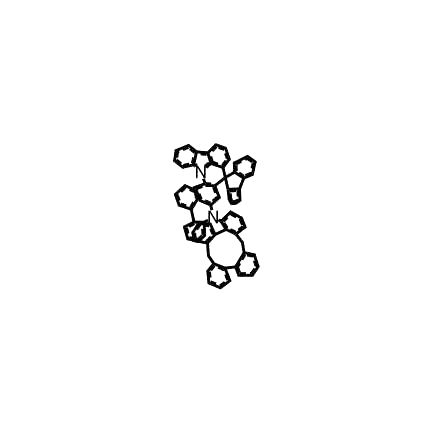 c1ccc(-c2ccccc2N(c2ccc3c(c2)C2(c4ccccc4-c4ccccc42)c2cccc4c5ccccc5n-3c24)c2cccc3c2-c2ccccc2Cc2ccccc2-c2ccccc2C3)cc1